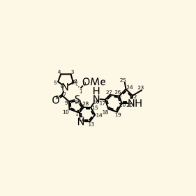 COC[C@H]1CCCN1C(=O)c1cc2nccc(Nc3ccc4[nH]c(C)c(C)c4c3)c2s1